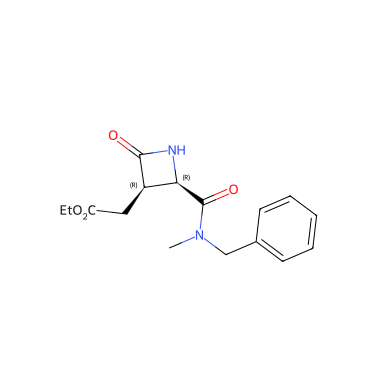 CCOC(=O)C[C@H]1C(=O)N[C@H]1C(=O)N(C)Cc1ccccc1